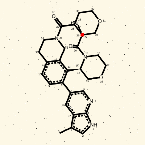 Cc1c[nH]c2ncc(-c3ccc4c(c3[C@@H]3COCCN3C(=O)OC(C)(C)C)CN(C(=O)C3CCOCC3)CC4)cc12